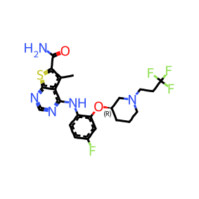 Cc1c(C(N)=O)sc2ncnc(Nc3ccc(F)cc3O[C@@H]3CCCN(CCC(F)(F)F)C3)c12